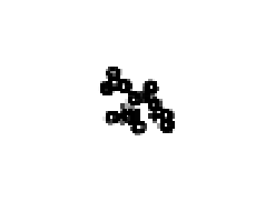 CC1(C)c2cc3c(cc2-c2ccc4ccccc4c21)c1ccccc1n3-c1cc(-c2ccc3c4ccccc4c4ccccc4c3c2)cc(-c2nc(-c3ccccc3)nc(-c3ccccc3)n2)c1